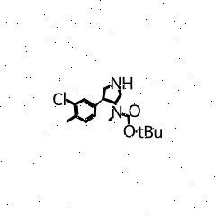 Cc1ccc([C@H]2CNC[C@@H]2N(C)C(=O)OC(C)(C)C)cc1Cl